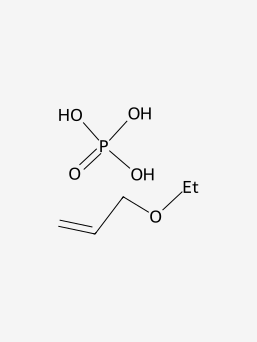 O=P(O)(O)O.[CH2]COCC=C